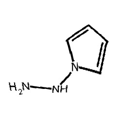 NNn1cccc1